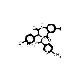 Cc1ccc(C(C(=O)O)N2C(=O)c3cc(I)ccc3NC(=O)C2c2ccc(Cl)cc2)cn1